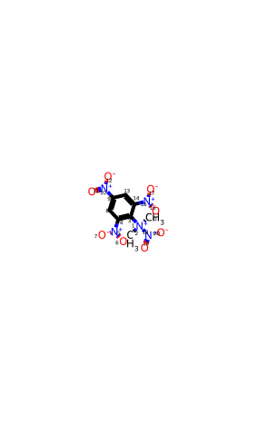 C[N+](C)(c1c([N+](=O)[O-])cc([N+](=O)[O-])cc1[N+](=O)[O-])[N+](=O)[O-]